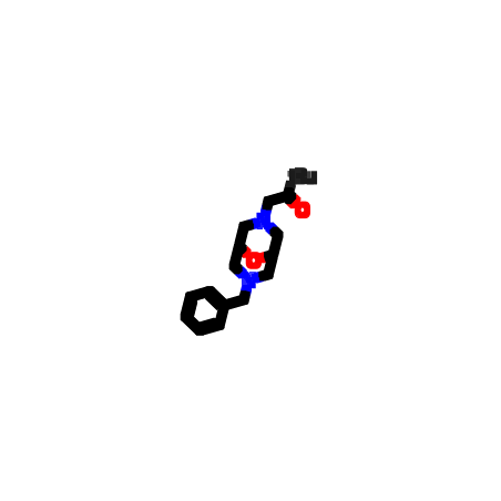 CC(C)(C)C(=O)CN1CC2CN(Cc3ccccc3)CC(C1)O2